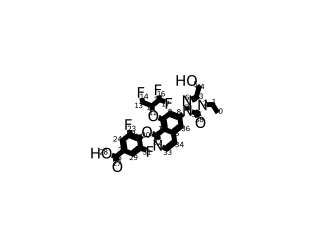 CCn1c(CO)nn(-c2cc(OC(CF)C(F)F)c3c(Oc4c(F)cc(C(=O)O)cc4F)nccc3c2)c1=O